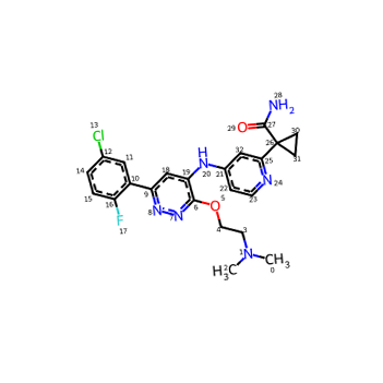 CN(C)CCOc1nnc(-c2cc(Cl)ccc2F)cc1Nc1ccnc(C2(C(N)=O)CC2)c1